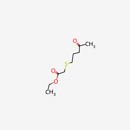 CCOC(=O)CSCCCC(C)=O